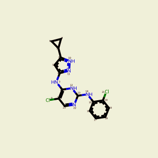 ClC1=C(Nc2cc(C3CC3)[nH]n2)NC(Nc2ccccc2Cl)N=C1